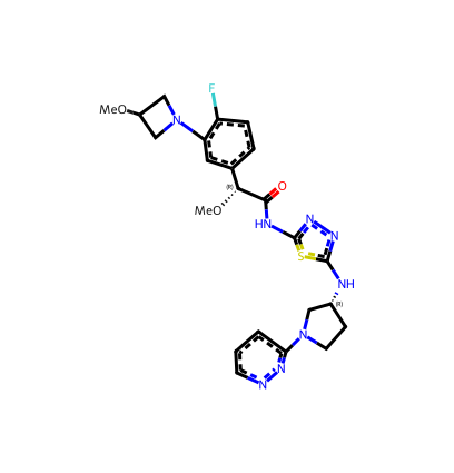 COC1CN(c2cc([C@@H](OC)C(=O)Nc3nnc(N[C@@H]4CCN(c5cccnn5)C4)s3)ccc2F)C1